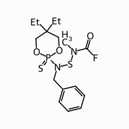 CCC1(CC)COP(=S)(N(Cc2ccccc2)SN(C)C(=O)F)OC1